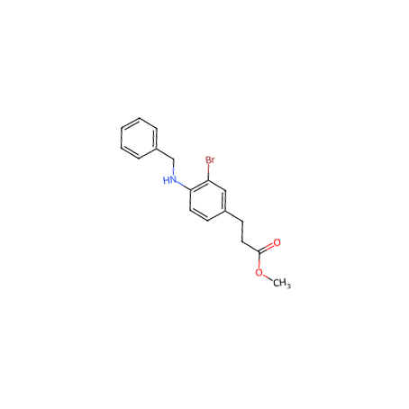 COC(=O)CCc1ccc(NCc2ccccc2)c(Br)c1